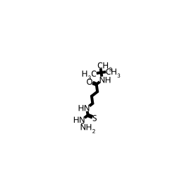 CC(C)(C)NC(=O)CCCNC(=S)NN